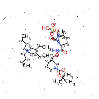 CC(C)(C)OC(=O)N1CCC[C@@H](CONC(=O)[C@@H]2CC[C@@H]3CN2C(=O)N3OS(=O)(=O)O)C1.CCCC[N+](CCCC)(CCCC)CCCC